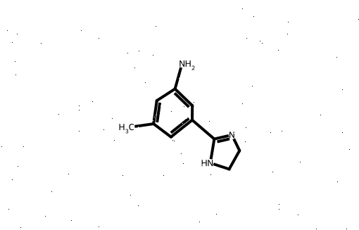 Cc1cc(N)cc(C2=NCCN2)c1